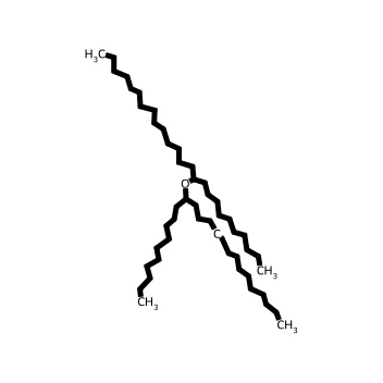 CCCCCCCCCCCCCCC(CCCCCCCCCC)OC(CCCCCCCCCC)CCCCCCCCCCCCCC